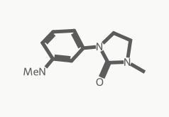 CNc1cccc(N2CCN(C)C2=O)c1